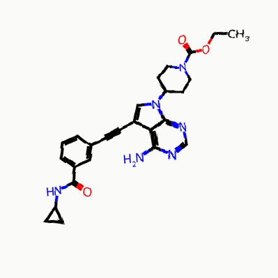 CCOC(=O)N1CCC(n2cc(C#Cc3cccc(C(=O)NC4CC4)c3)c3c(N)ncnc32)CC1